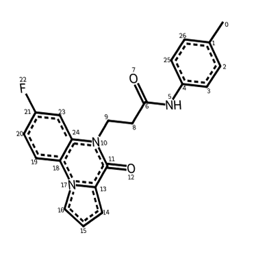 Cc1ccc(NC(=O)CCn2c(=O)c3cccn3c3ccc(F)cc32)cc1